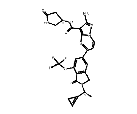 C[C@@H](C1=CC1)N1Cc2cc(-c3ccn4nc(N)c(C(=O)N[C@H]5CNC(=O)C5)c4n3)cc(OC(F)(F)F)c2C1=O